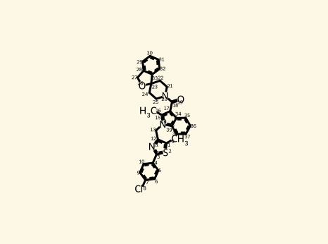 Cc1sc(-c2ccc(Cl)cc2)nc1Cn1c(C)c(C(=O)N2CCC3(CC2)OCc2ccccc23)c2ccccc21